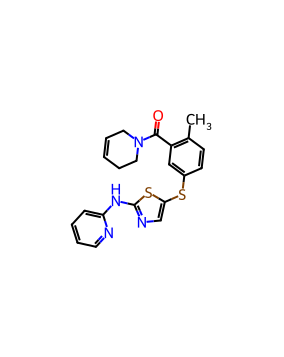 Cc1ccc(Sc2cnc(Nc3ccccn3)s2)cc1C(=O)N1CC=CCC1